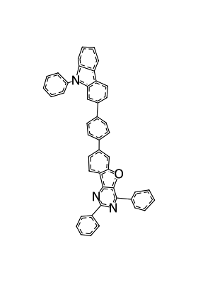 c1ccc(-c2nc(-c3ccccc3)c3oc4cc(-c5ccc(-c6ccc7c8ccccc8n(-c8ccccc8)c7c6)cc5)ccc4c3n2)cc1